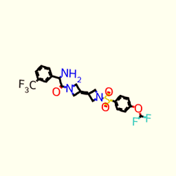 NC(C(=O)N1CC(=C2CN(S(=O)(=O)c3ccc(OC(F)F)cc3)C2)C1)c1cccc(C(F)(F)F)c1